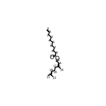 C=CCCCCCCCCC(=O)OCC=C(C)CCC=C(C)C